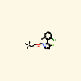 Cc1cccc(Cl)c1-c1c(F)ccn1COCC[Si](C)(C)C